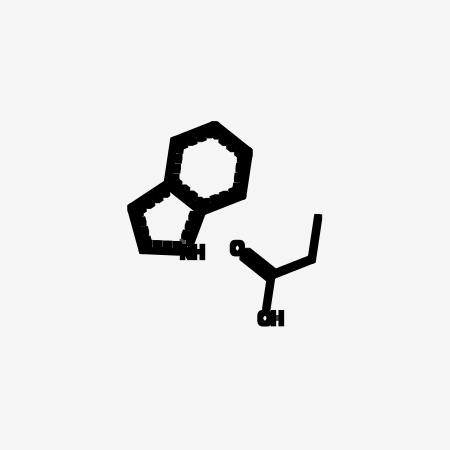 CCC(=O)O.c1ccc2[nH]ccc2c1